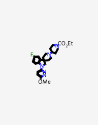 CCOC(=O)N1CCC(N2CCC3(CC2)CN(c2ccc(OC)nn2)c2ccc(F)cc23)CC1